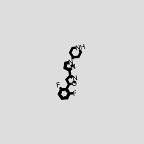 Fc1cccc(F)c1C1CC(c2ccn(C3CCNCC3)n2)=NO1